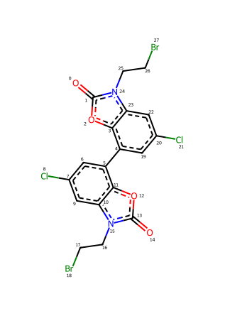 O=c1oc2c(-c3cc(Cl)cc4c3oc(=O)n4CCBr)cc(Cl)cc2n1CCBr